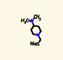 CSCN1CCC(N(C)C)CC1